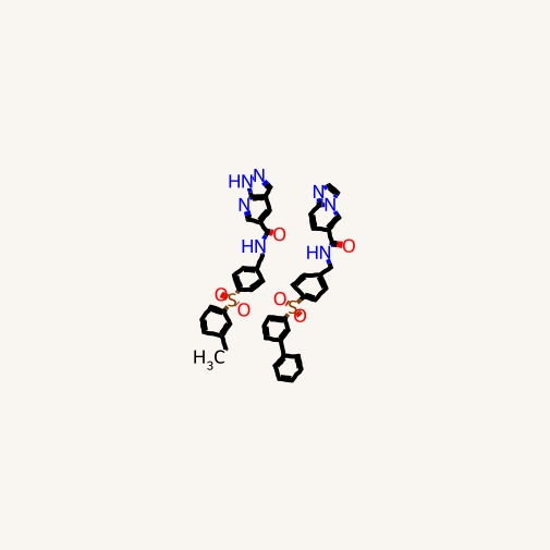 CCc1cccc(S(=O)(=O)c2ccc(CNC(=O)c3cnc4[nH]ncc4c3)cc2)c1.O=C(NCc1ccc(S(=O)(=O)c2cccc(-c3ccccc3)c2)cc1)c1ccc2nccn2c1